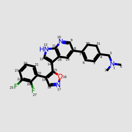 CN(C)CC1=CC=C(c2cnc3[nH]cc(-c4oncc4-c4cccc(F)c4F)c3c2)CC1